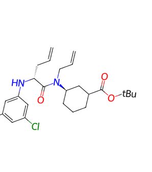 C=CC[C@@H](Nc1cc(F)cc(Cl)c1)C(=O)N(CC=C)[C@@H]1CCCC(C(=O)OC(C)(C)C)C1